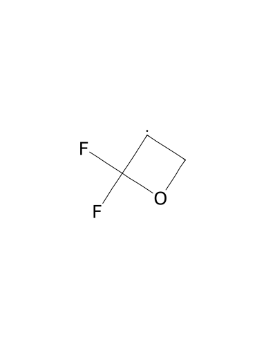 FC1(F)[CH]CO1